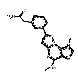 CNc1nc2cc(-c3cccc(CC(N)=O)c3)nn2c2c1ncn2C